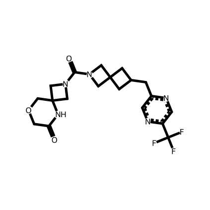 O=C1COCC2(CN(C(=O)N3CC4(CC(Cc5cnc(C(F)(F)F)cn5)C4)C3)C2)N1